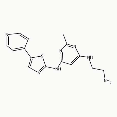 Cc1nc(NCCN)cc(Nc2ncc(-c3ccncc3)s2)n1